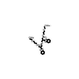 COCCOCCCO[SiH2]CC(CSSCC(C[SiH2]OCCCOCCOC)c1nc2ccccc2s1)c1nc2ccccc2s1